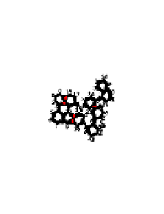 c1ccc(-c2cccc3cccc(-c4ccccc4N(c4ccc(-c5cccc6ccccc56)cc4)c4cccc(-c5cccc6sc7ccccc7c56)c4)c23)cc1